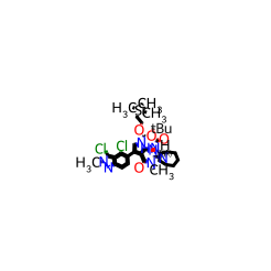 Cn1nc2ccc(-c3cn(COCC[Si](C)(C)C)c4nc(N5C6CCC[C@@H]5[C@H](NC(=O)OC(C)(C)C)C6)n(C)c(=O)c34)c(Cl)c2c1Cl